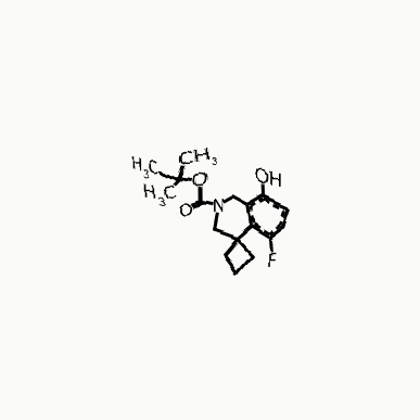 CC(C)(C)OC(=O)N1Cc2c(O)ccc(F)c2C2(CCC2)C1